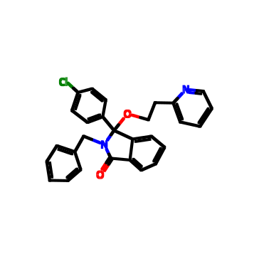 O=C1c2ccccc2C(OCCc2ccccn2)(c2ccc(Cl)cc2)N1Cc1ccccc1